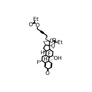 CCC(=O)OCC#CCSC(=O)[C@@]1(OC(=O)CC)[C@H](C)C[C@H]2[C@@H]3C[C@H](F)C4=CC(=O)C=C[C@]4(C)[C@@]3(F)[C@@H](O)C[C@@]21C